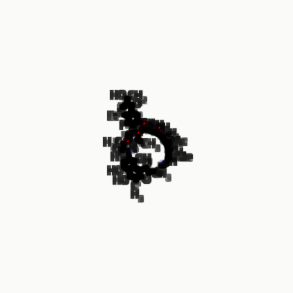 C=C(O)c1cn(CC)c2c(F)c(N3CCN(/N=C/c4c5c(O)c6c(O)c(C)c7c(c6c4O)C(=O)[C@@](C)(O/C=C/[C@H](OC)[C@@H](C)[C@@H](OC(C)=O)[C@H](C)[C@H](O)[C@H](C)[C@@H](O)[C@@H](C)/C=C/C=C(/C)C(=O)N5)O7)C(C)C3)c(F)cc2c1=O